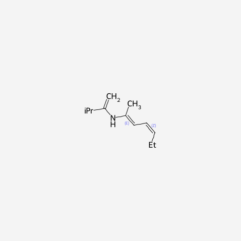 C=C(N/C(C)=C/C=C\CC)C(C)C